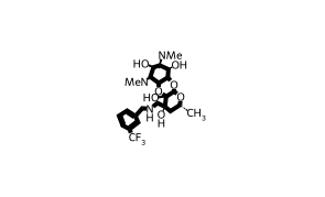 CN[C@@H]1[C@H](O)[C@H](NC)C2O[C@]3(O)C(OC2[C@H]1O)O[C@H](C)C[C@@]3(O)CNCc1cccc(C(F)(F)F)c1